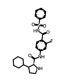 O=C(NS(=O)(=O)c1ccccc1)c1ccc(NC(=O)[C@H]2NCCC2C2CCCCC2)cc1F